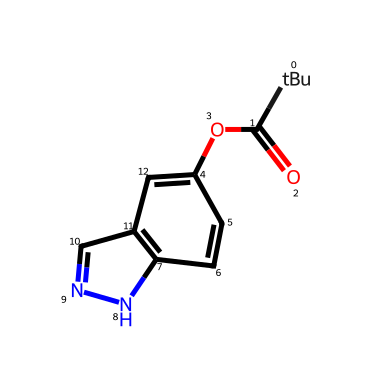 CC(C)(C)C(=O)Oc1ccc2[nH]ncc2c1